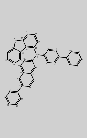 c1ccc(-c2ccc(N(c3ccc4cc(-c5ccccc5)ccc4c3)c3ccnc4sc5ccccc5c34)cc2)cc1